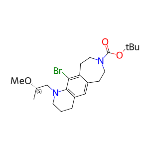 CO[C@@H](C)CN1CCCc2cc3c(c(Br)c21)CCN(C(=O)OC(C)(C)C)CC3